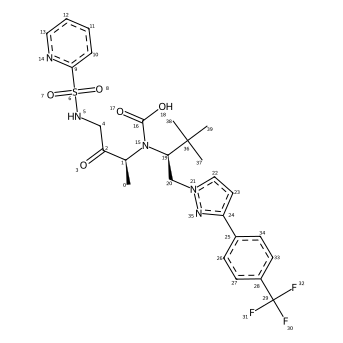 C[C@@H](C(=O)CNS(=O)(=O)c1ccccn1)N(C(=O)O)[C@H](Cn1ccc(-c2ccc(C(F)(F)F)cc2)n1)C(C)(C)C